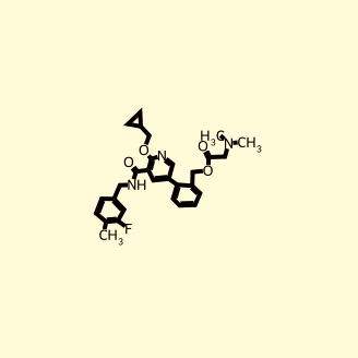 Cc1ccc(CNC(=O)c2cc(-c3ccccc3COC(=O)CN(C)C)cnc2OCC2CC2)cc1F